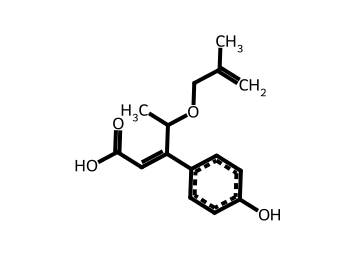 C=C(C)COC(C)/C(=C\C(=O)O)c1ccc(O)cc1